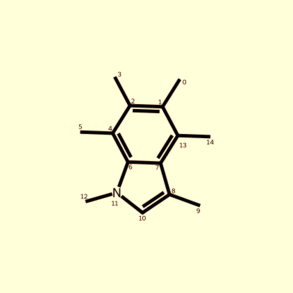 Cc1c(C)c(C)c2c(c(C)cn2C)c1C